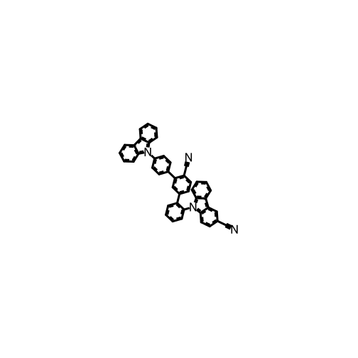 N#Cc1ccc2c(c1)c1ccccc1n2-c1ccccc1-c1ccc(C#N)c(-c2ccc(-n3c4ccccc4c4ccccc43)cc2)c1